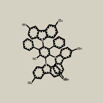 CC(C)(C)c1ccc2c(c1)c1cc(C(C)(C)C)ccc1n2-c1c(-c2ccccc2)c(C#N)c(-n2c3ccc(C(C)(C)C)cc3c3cc(C(C)(C)C)ccc32)c(-n2c3ccc(C(C)(C)C)cc3c3cc(C(C)(C)C)ccc32)c1-c1ccccc1